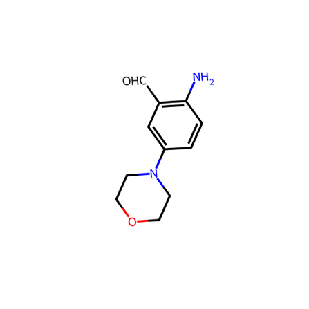 Nc1ccc(N2CCOCC2)cc1C=O